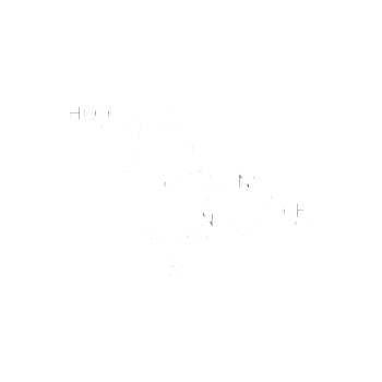 O=C(O)c1ccc(-c2nc(C(F)(F)F)cn2C2CC2)cc1